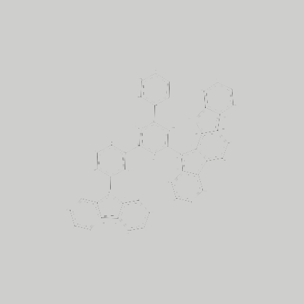 c1ccc(-c2nc(-c3cccc(-n4c5ccccc5c5ccccc54)c3)nc(-n3c4ccccc4c4ccc5c6ccccc6sc5c43)n2)cc1